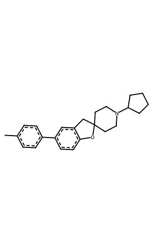 Cc1ccc(-c2ccc3c(c2)CC2(CCN(C4CCCC4)CC2)O3)cc1